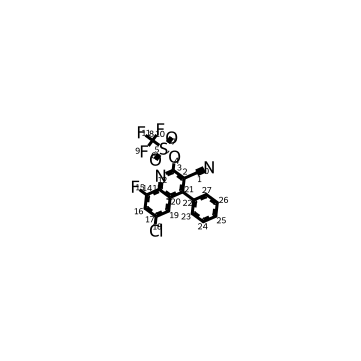 N#Cc1c(OS(=O)(=O)C(F)(F)F)nc2c(F)cc(Cl)cc2c1-c1ccccc1